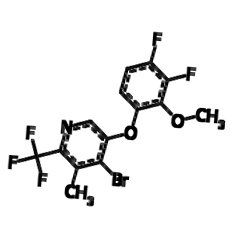 COc1c(Oc2cnc(C(F)(F)F)c(C)c2Br)ccc(F)c1F